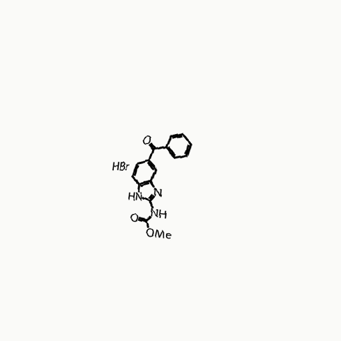 Br.COC(=O)Nc1nc2cc(C(=O)c3ccccc3)ccc2[nH]1